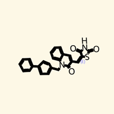 O=C1NC(=O)/C(=C\c2cc3ccccc3n(Cc3ccc(-c4ccccc4)cc3)c2=O)S1